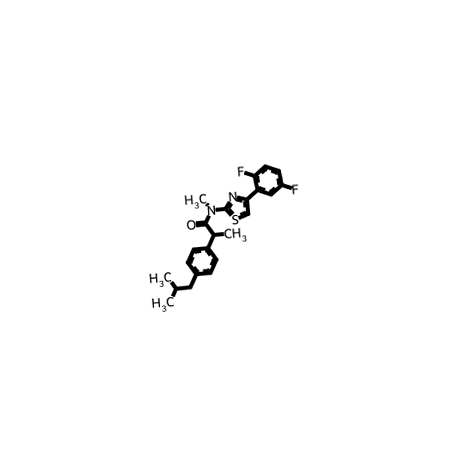 CC(C)Cc1ccc(C(C)C(=O)N(C)c2nc(-c3cc(F)ccc3F)cs2)cc1